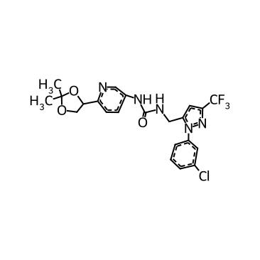 CC1(C)OCC(c2ccc(NC(=O)NCc3cc(C(F)(F)F)nn3-c3cccc(Cl)c3)cn2)O1